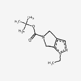 CCn1ncc2c1CN(C(=O)OC(C)(C)C)C2